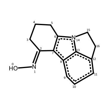 ON=C1CCCc2c1c1cccc3c1n2CC3